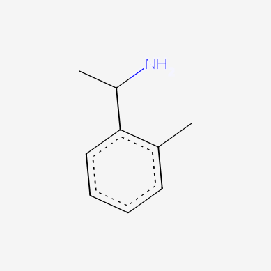 Cc1[c]cccc1C(C)N